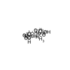 Cc1c(NC(=O)CCc2ccc([N+](=O)[O-])c(O)c2O)cccc1C(=O)O